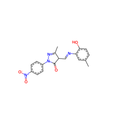 CC1=NN(c2ccc([N+](=O)[O-])cc2)C(=O)C1/C=N/c1cc(C)ccc1O